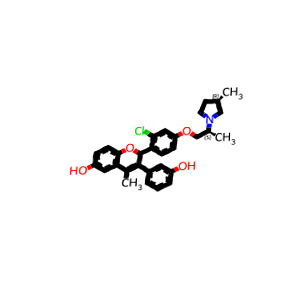 CC1=C(c2cccc(O)c2)C(c2ccc(OC[C@H](C)N3CC[C@@H](C)C3)cc2Cl)Oc2ccc(O)cc21